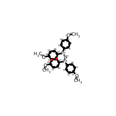 COc1ccc(P([N]P(c2ccc(OC)cc2)c2ccc(OC)cc2)c2ccc(OC)cc2)cc1